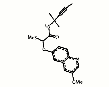 CC#CC(C)(C)NC(=O)C(Oc1ccc2ncc(OC)cc2c1)SC